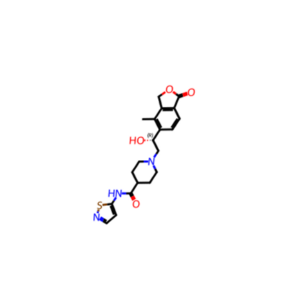 Cc1c([C@@H](O)CN2CCC(C(=O)Nc3ccns3)CC2)ccc2c1COC2=O